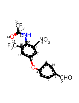 O=Cc1ccc(Oc2cc([N+](=O)[O-])c(NC(=O)C(F)(F)F)c(C(F)(F)F)c2)cc1